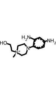 C[N+]1(CCO)CCN(c2ccc(N)cc2N)CC1